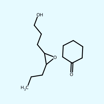 CCCC1OC1CCCO.O=C1CCCCC1